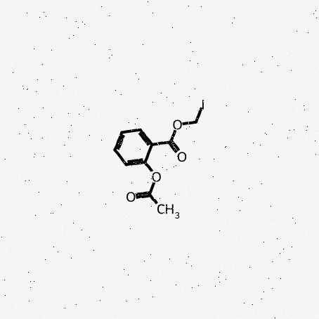 CC(=O)Oc1ccccc1C(=O)OCI